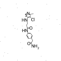 Cc1nsc(NCCC(=O)Nc2ccc(CC(N)=O)cc2)c1Cl